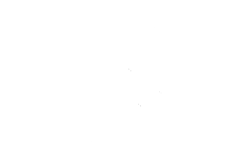 Clc1ccc(Sc2ncnc3c2N=C(Cc2ccccc2)c2cc(Cl)ccc2S3)cc1